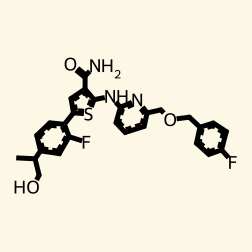 CC(CO)c1ccc(-c2cc(C(N)=O)c(Nc3cccc(COCc4ccc(F)cc4)n3)s2)c(F)c1